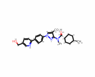 CC(C)N(c1nn(-c2ccc(-c3ccc(CO)cn3)cc2)cc1C(=O)O)C(=O)[C@H]1CC[C@H](C)CC1